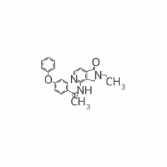 CCN1Cc2c(ccnc2N[C@@H](C)c2ccc(Oc3ccccc3)cc2)C1=O